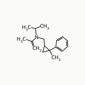 C=C(C)N(CC1CC1(C)c1ccccc1)C(C)C